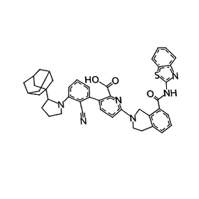 N#Cc1c(-c2ccc(N3CCc4cccc(C(=O)Nc5nc6ccccc6s5)c4C3)nc2C(=O)O)cccc1N1CCCC1C12CC3CC(CC(C3)C1)C2